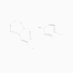 COc1cc(Oc2ccc(C(F)(F)F)cc2)c2ncccc2c1